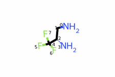 NC[C@H](N)C(F)(F)F